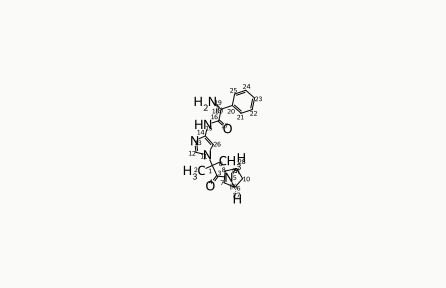 CC(C)(C(=O)N1[C@@H]2CC[C@H]1C2)n1cnc(NC(=O)[C@@H](N)c2ccccc2)c1